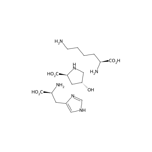 NCCCC[C@H](N)C(=O)O.N[C@@H](Cc1c[nH]cn1)C(=O)O.O=C(O)[C@@H]1C[C@@H](O)CN1